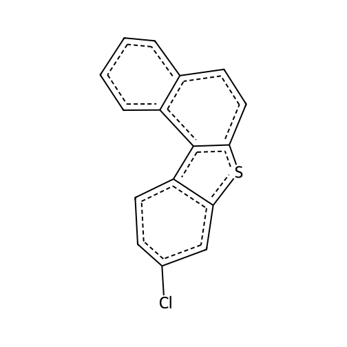 Clc1ccc2c(c1)sc1ccc3ccccc3c12